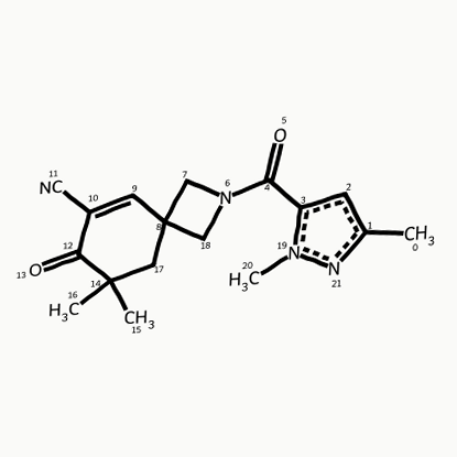 Cc1cc(C(=O)N2CC3(C=C(C#N)C(=O)C(C)(C)C3)C2)n(C)n1